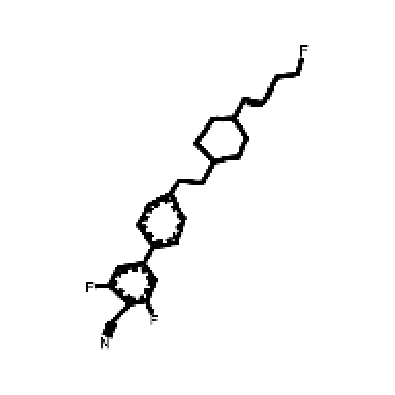 N#Cc1c(F)cc(-c2ccc(CCC3CCC(C=CCCF)CC3)cc2)cc1F